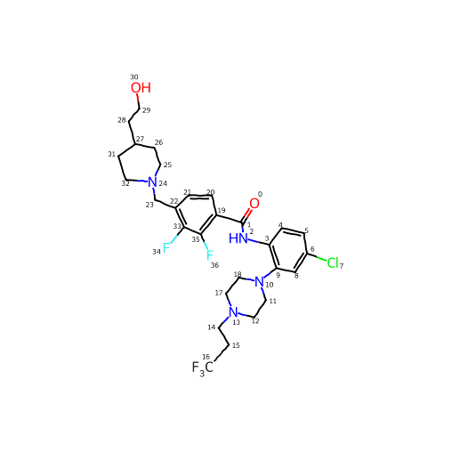 O=C(Nc1ccc(Cl)cc1N1CCN(CCC(F)(F)F)CC1)c1ccc(CN2CCC(CCO)CC2)c(F)c1F